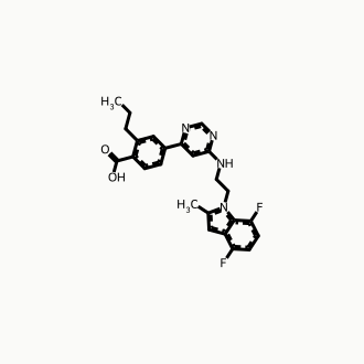 CCCc1cc(-c2cc(NCCn3c(C)cc4c(F)ccc(F)c43)ncn2)ccc1C(=O)O